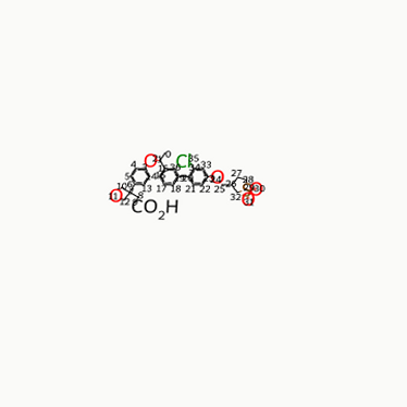 CC(Oc1ccc(C2(CC(=O)O)COC2)cc1)c1cccc(-c2ccc(OCC3CCS(=O)(=O)C3)cc2Cl)c1